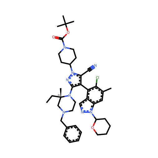 CC[C@@]1(C)CN(Cc2ccccc2)CCN1c1nn(C2CCN(C(=O)OC(C)(C)C)CC2)c(C#N)c1-c1c(Cl)c(C)cc2c1cnn2C1CCCCO1